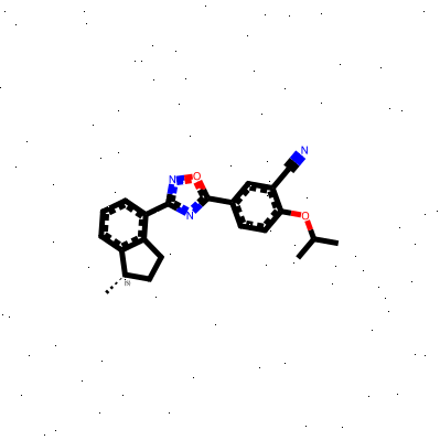 CC(C)Oc1ccc(-c2nc(-c3cccc4c3CC[C@@H]4C)no2)cc1C#N